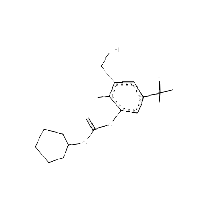 O=C(Nc1cc(C(F)(F)F)cc(CO)c1O)NC1CCCCC1